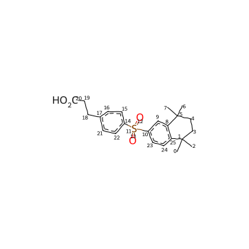 CC1(C)CCC(C)(C)c2cc(S(=O)(=O)c3ccc(CCC(=O)O)cc3)ccc21